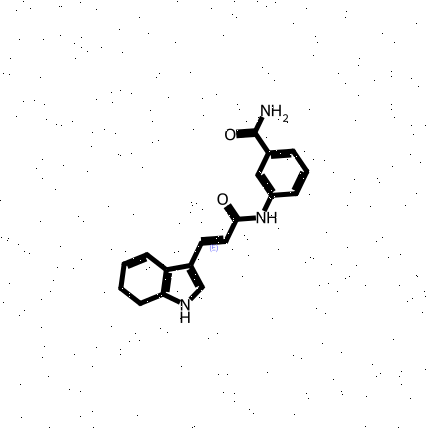 NC(=O)c1cccc(NC(=O)/C=C/c2c[nH]c3c2C=CCC3)c1